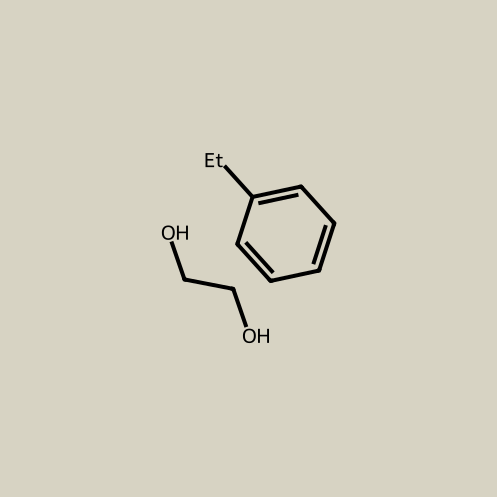 CCc1ccccc1.OCCO